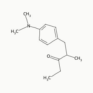 CCC(=O)C(C)Cc1ccc(N(C)C)cc1